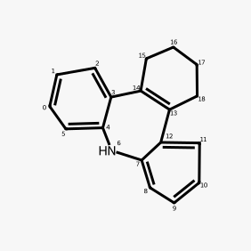 c1ccc2c(c1)Nc1ccccc1C1=C2CCCC1